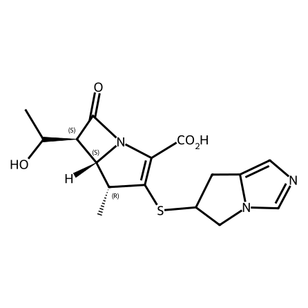 CC(O)[C@H]1C(=O)N2C(C(=O)O)=C(SC3Cc4cncn4C3)[C@H](C)[C@H]12